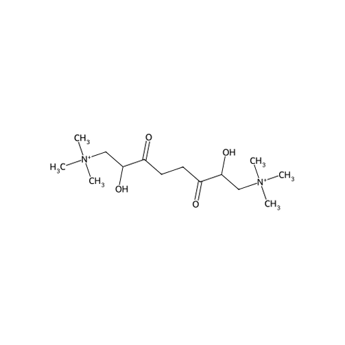 C[N+](C)(C)CC(O)C(=O)CCC(=O)C(O)C[N+](C)(C)C